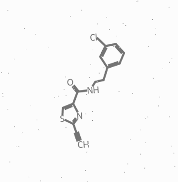 C#Cc1nc(C(=O)NCCc2cccc(Cl)c2)cs1